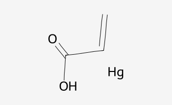 C=CC(=O)O.[Hg]